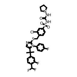 CC(C)(c1ccc(C(F)F)c(F)c1)c1cnc(SCc2ccc(S(=O)(=O)NC(=O)NN3CCCC3)cc2Cl)n1-c1ccc(F)cc1